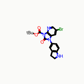 CC(C)(C)OC(=O)n1c(=O)n(-c2ccc3c(c2)CCN3)c2cc(Br)cnc21